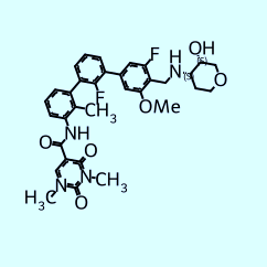 COc1cc(-c2cccc(-c3cccc(NC(=O)c4cn(C)c(=O)n(C)c4=O)c3C)c2F)cc(F)c1CN[C@H]1CCOC[C@H]1O